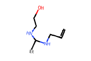 C=CCNC(CC)NCCO